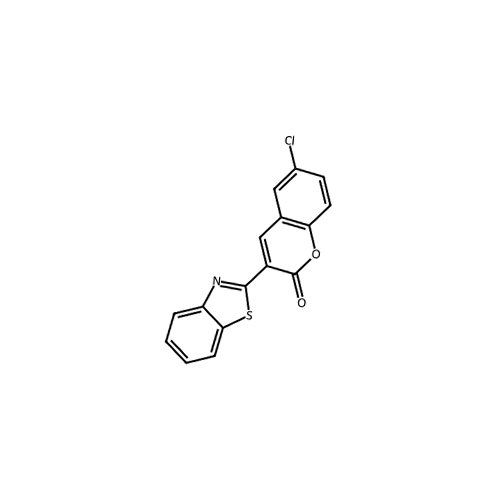 O=c1oc2ccc(Cl)cc2cc1-c1nc2ccccc2s1